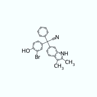 Cc1[nH]c2cc(C(C#N)(c3ccccc3)c3ccc(O)c(Br)c3)ccc2c1C